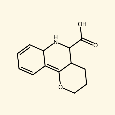 O=C(O)C1NC2C=CC=CC2=C2OCCCC21